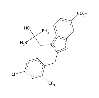 BC(B)(O)Cn1c(Cc2ccc(Cl)cc2C(F)(F)F)cc2cc(C(=O)O)ccc21